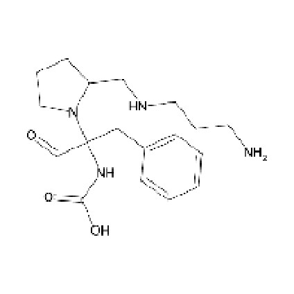 NCCCNCC1CCCN1C(C=O)(Cc1ccccc1)NC(=O)O